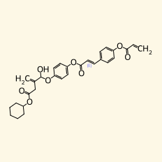 C=CC(=O)Oc1ccc(/C=C/C(=O)Oc2ccc(OC(O)C(=C)CC(=O)OC3CCCCC3)cc2)cc1